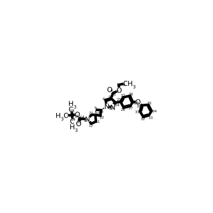 CCOC(=O)c1cn([C@H]2C[C@@]3(CCN(C(=O)OC(C)(C)C)C3)C2)nc1-c1ccc(Oc2ccccc2)cc1